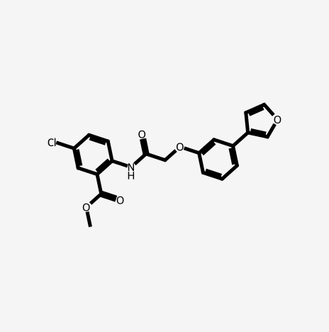 COC(=O)c1cc(Cl)ccc1NC(=O)COc1cccc(-c2ccoc2)c1